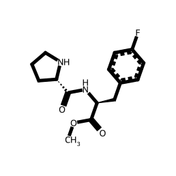 COC(=O)[C@H](Cc1ccc(F)cc1)NC(=O)[C@@H]1CCCN1